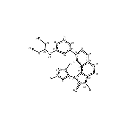 Cc1nn(C)cc1-n1c(=O)n(C)c2cnc3ccc(-c4cncc(OC(CF)CF)c4)cc3c21